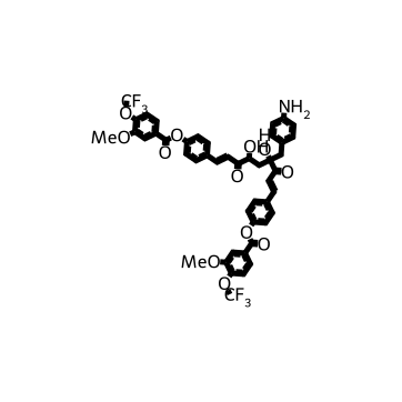 COc1cc(C(=O)Oc2ccc(/C=C/C(=O)C(O)CC(O)(Cc3ccc(N)cc3)C(=O)/C=C/c3ccc(OC(=O)c4ccc(OC(F)(F)F)c(OC)c4)cc3)cc2)ccc1OC(F)(F)F